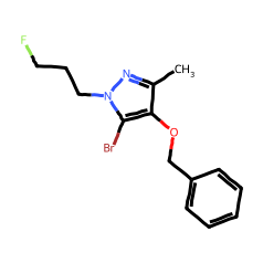 Cc1nn(CCCF)c(Br)c1OCc1ccccc1